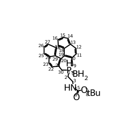 B[PH]1(CCNC(=O)OC(C)(C)C)Cc2ccc3ccccc3c2-c2c(ccc3ccccc23)C1